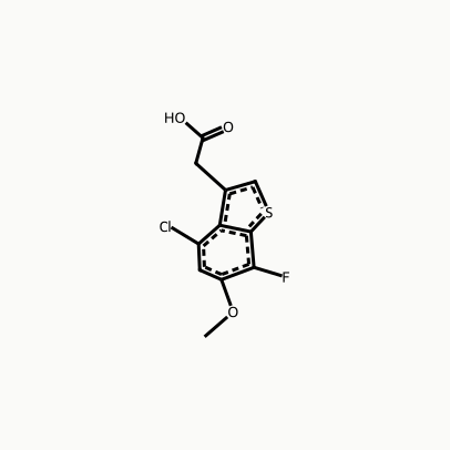 COc1cc(Cl)c2c(CC(=O)O)csc2c1F